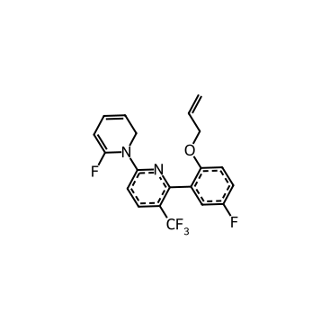 C=CCOc1ccc(F)cc1-c1nc(N2CC=CC=C2F)ccc1C(F)(F)F